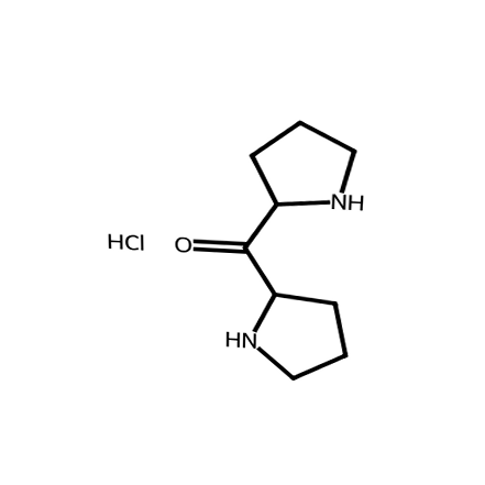 Cl.O=C(C1CCCN1)C1CCCN1